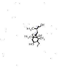 CC1=C(CF)C(O)CC(C)(C)C1(O)/C=C/C(C)=C\CO